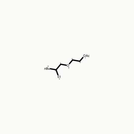 CCCCC(CC)COCCOC(C)=O